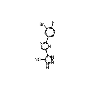 N#Cc1[nH]nnc1-c1csc(-c2ccc(F)c(Br)c2)n1